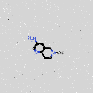 CC(=O)N1CCc2ncc(N)cc2C1